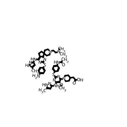 COc1c(Nc2cc(C)[nH]n2)nc(Sc2ccc(NC(C)=O)cc2)nc1N1CCC(CC(=O)O)CC1.Cc1cc(Nc2nc(Sc3ccc(N)cc3)nc3c2CCC32CCN(CCN(C)C)CC2)n[nH]1